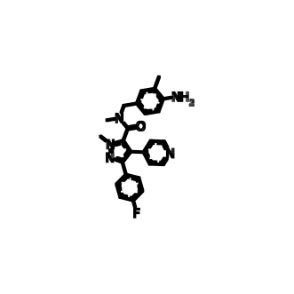 Cc1cc(CN(C)C(=O)c2c(-c3ccncc3)c(-c3ccc(F)cc3)nn2C)ccc1N